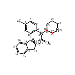 O=C(O)N(c1ccc(F)cc1C1=CCc2ccccc21)C1CN2CCC1CC2